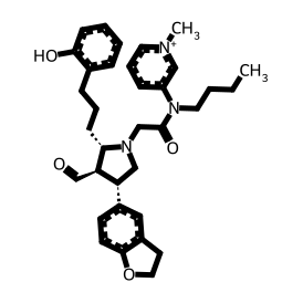 CCCCN(C(=O)CN1C[C@H](c2ccc3c(c2)CCO3)[C@@H](C=O)[C@@H]1CCCc1ccccc1O)c1ccc[n+](C)c1